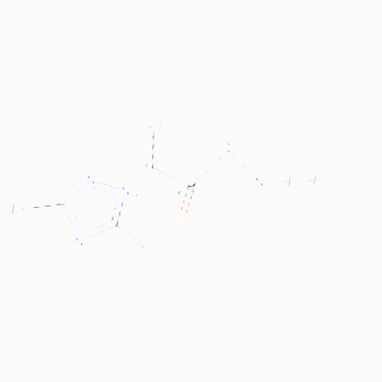 Cc1nc(C)n(C(C)C(=O)CN(C)O)n1